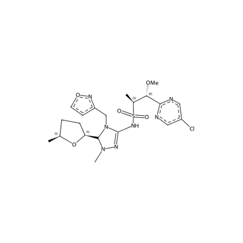 CO[C@H](c1ncc(Cl)cn1)[C@H](C)S(=O)(=O)NC1=NN(C)C([C@@H]2CC[C@H](C)O2)N1Cc1ccon1